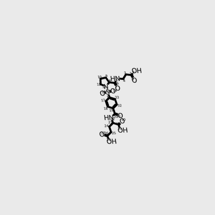 O=C(O)CCNC(=O)C1CCCN1S(=O)(=O)c1ccc(C(=O)NC(CCC(=O)O)C(=O)O)cc1